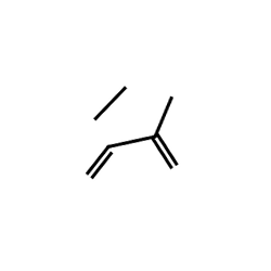 C=CC(=C)C.CC